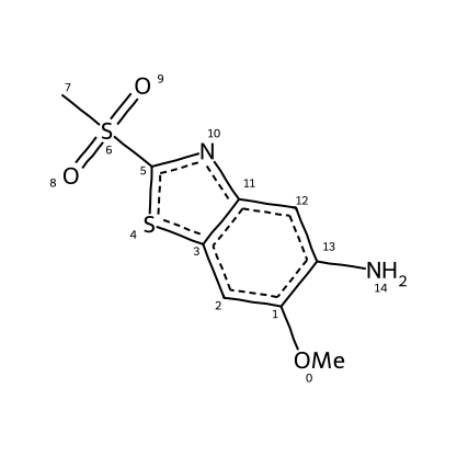 COc1cc2sc(S(C)(=O)=O)nc2cc1N